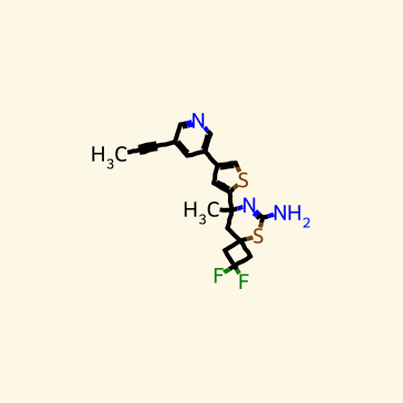 CC#Cc1cncc(-c2csc(C3(C)CC4(CC(F)(F)C4)SC(N)=N3)c2)c1